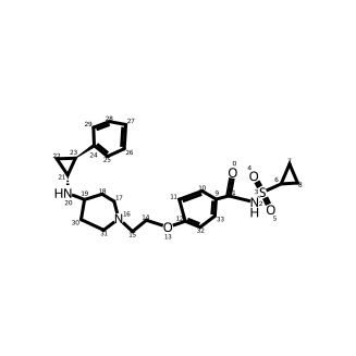 O=C(NS(=O)(=O)C1CC1)c1ccc(OCCN2CCC(N[C@@H]3C[C@H]3c3ccccc3)CC2)cc1